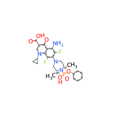 C[C@@H]1CN(c2c(F)c(N)c3c(=O)c(C(=O)O)cn(C4CC4)c3c2F)C[C@H](C)N1P(=O)(O)Oc1ccccc1